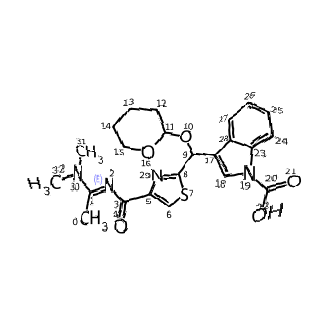 C/C(=N\C(=O)c1csc(C(OC2CCCCO2)c2cn(C(=O)O)c3ccccc23)n1)N(C)C